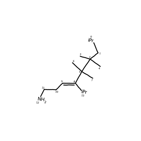 CC(C)CC(C)(C)C(C)(C)C(=CCCN)C(C)C